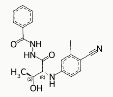 C[C@H](O)[C@@H](Nc1ccc(C#N)c(I)c1)C(=O)NNC(=O)c1ccccc1